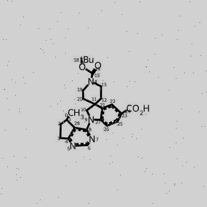 CC1CCc2ncnc(N3CC4(CCN(C(=O)OC(C)(C)C)CC4)c4cc(C(=O)O)ccc43)c21